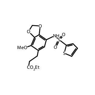 CCOC(=O)CCc1cc(NS(=O)(=O)c2cccs2)c2c(c1OC)OCO2